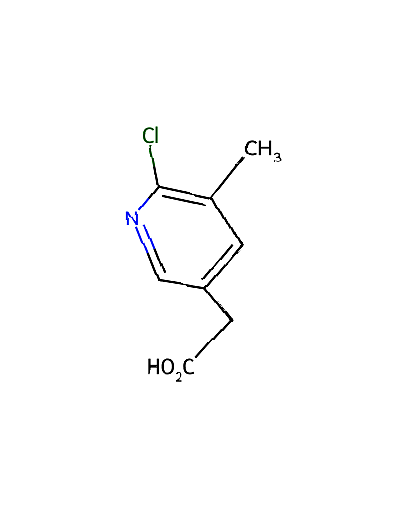 Cc1cc(CC(=O)O)cnc1Cl